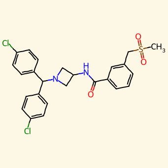 CS(=O)(=O)Cc1cccc(C(=O)NC2CN(C(c3ccc(Cl)cc3)c3ccc(Cl)cc3)C2)c1